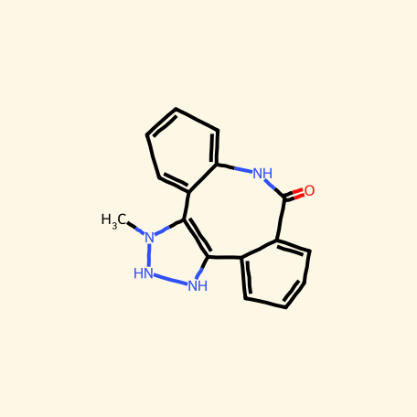 Cn1[nH][nH]c2c3ccccc3c(=O)[nH]c3ccccc3c1=2